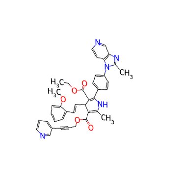 CCOC(=O)C1=C(c2ccc(-n3c(C)nc4cnccc43)cc2)NC(C)=C(C(=O)OCC#Cc2cccnc2)C1/C=C/c1ccccc1OC